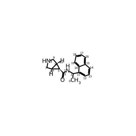 CC(NC(=O)[C@H]1[C@@H]2CNC[C@@H]21)c1cccc2ccccc12